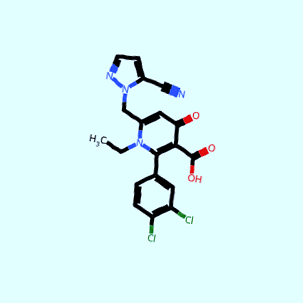 CCn1c(Cn2nccc2C#N)cc(=O)c(C(=O)O)c1-c1ccc(Cl)c(Cl)c1